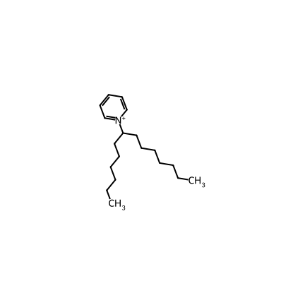 CCCCCCCC(CCCCCC)[n+]1ccccc1